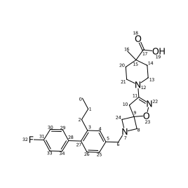 CCCc1cc(CN2CC3(CC(N4CCC(C)(C(=O)O)CC4)=NO3)C2)ccc1-c1ccc(F)cc1